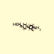 Cc1cc(N2CCN(CCO)CC2)ccc1N